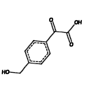 O=C(O)C(=O)c1ccc(CO)cc1